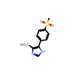 CCOC(=O)c1nc[nH]c1-c1ccc(S(C)(=O)=O)cc1